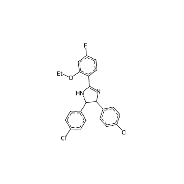 CCOc1cc(F)ccc1C1=NC(c2ccc(Cl)cc2)C(c2ccc(Cl)cc2)N1